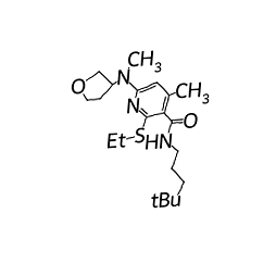 CCSc1nc(N(C)C2CCOC2)cc(C)c1C(=O)NCCCC(C)(C)C